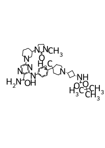 CN1CCN([C@@H]2CCCN(c3cnc(C(N)=O)c(Nc4ccc(C5(C)CCN([C@H]6C[C@@H](NC(=O)OC(C)(C)C)C6)CC5)cc4)n3)C2)C1=O